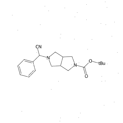 CC(C)(C)OC(=O)N1CC2CN(C(C#N)c3ccccc3)CC2C1